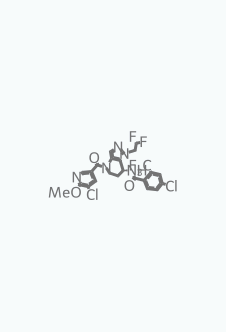 COc1ncc(C(=O)N2CC[C@H](NC(=O)c3ccc(Cl)cc3C(F)(F)F)c3c2cnn3CC(F)F)cc1Cl